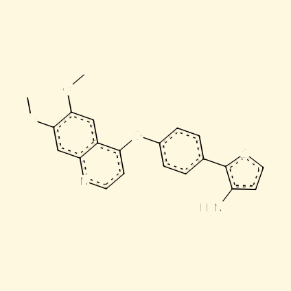 COc1cc2nccc(Oc3ccc(-c4sccc4N)cc3)c2cc1OC